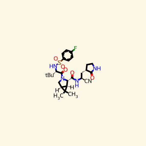 CC(C)(C)[C@H](NS(=O)(=O)c1ccc(F)cc1)C(=O)N1C[C@H]2[C@@H]([C@H]1C(=O)N[C@H](C#N)C[C@@H]1CCNC1=O)C2(C)C